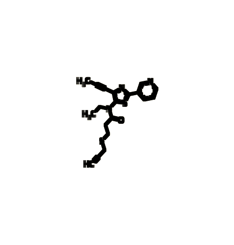 C#CCSCCC(=O)N(CC)c1sc(-c2cccnc2)nc1C#CC